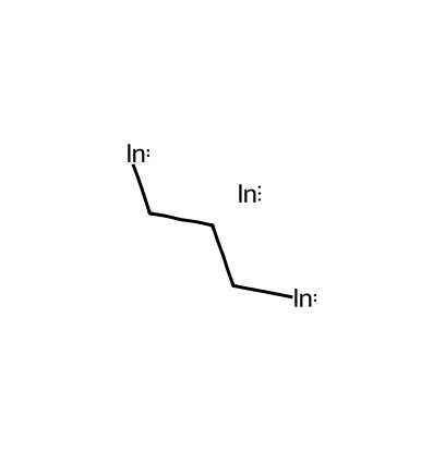 [In].[In][CH2]C[CH2][In]